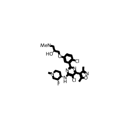 CNC[C@@H](O)COc1ccc(Cl)c(-c2nc(N[C@H]3CCN(C)C[C@H]3F)c(Cl)c(-c3c(C)noc3C)n2)c1